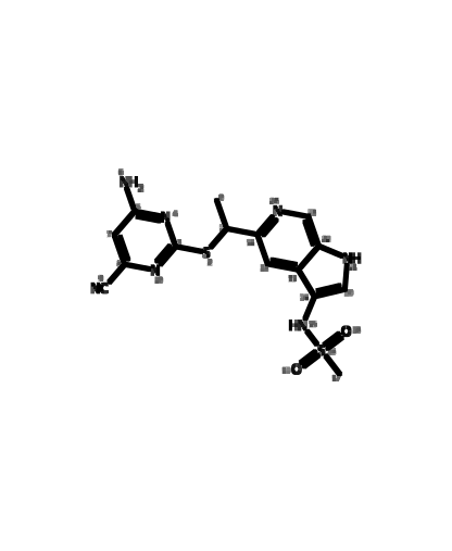 CC(Sc1nc(N)cc(C#N)n1)c1cc2c(NS(C)(=O)=O)c[nH]c2cn1